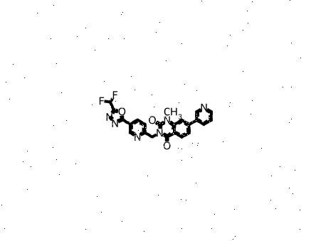 Cn1c(=O)n(Cc2ccc(-c3nnc(C(F)F)o3)cn2)c(=O)c2ccc(-c3cccnc3)cc21